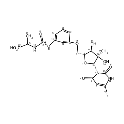 [2H]c1cc(=O)n([C@@H]2O[C@H](COc3cccc(O[PH](=O)NC(C)C(=O)O)c3)[C@@H](O)[C@@]2(C)O)c(=O)[nH]1